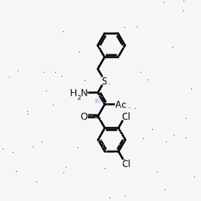 CC(=O)/C(C(=O)c1ccc(Cl)cc1Cl)=C(/N)SCc1ccccc1